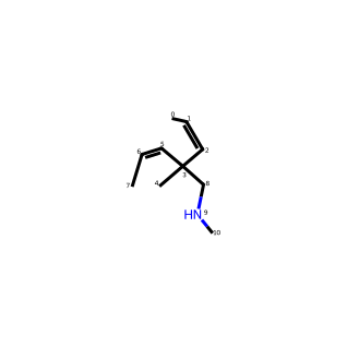 C/C=C\C(C)(/C=C\C)CNC